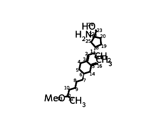 C=C(/C=C1/CC[C@H](CCCCC(C)OC)C/C1=C/C)[C@H]1CC[C@](N)(CO)C1